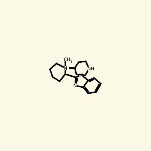 C[N+]1(C2CCNCC2)CC[CH]CC1c1nc2ccccc2o1